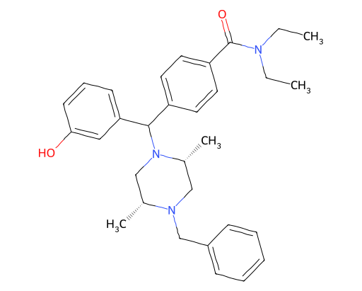 CCN(CC)C(=O)c1ccc(C(c2cccc(O)c2)N2C[C@@H](C)N(Cc3ccccc3)C[C@H]2C)cc1